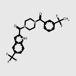 CC(F)(F)c1cccc(C(=O)N2CCN(C(=O)c3cc4cc(C(F)(F)F)ccc4[nH]3)CC2)c1